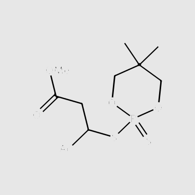 COC(=O)CC(SP1(=S)OCC(C)(C)CO1)C(C)=O